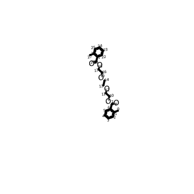 Cc1ccccc1C(=O)OCCOCCOCCOC(=O)c1ccccc1C